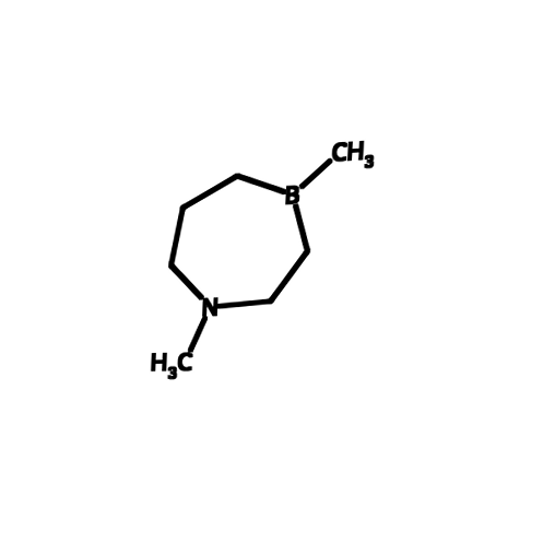 CB1CCCN(C)CC1